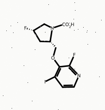 O=C(O)N1C[C@@H](F)C[C@H]1COc1c(I)ccnc1F